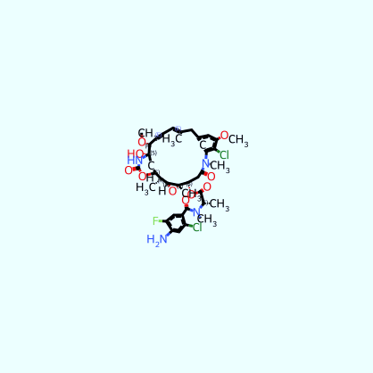 COc1cc2cc(c1Cl)N(C)C(=O)C[C@H](OC(=O)[C@H](C)N(C)C(=O)c1cc(F)c(N)cc1Cl)[C@]1(C)O[C@H]1[C@H](C)[C@@H]1C[C@@](O)(NC(=O)O1)[C@H](OC)/C=C/C=C(\C)C2